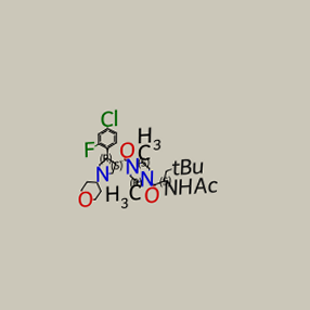 CC(=O)N[C@@H](CC(C)(C)C)C(=O)N1C[C@H](C)N(C(=O)[C@@H]2CN(C3CCOCC3)C[C@H]2c2ccc(Cl)cc2F)C[C@H]1C